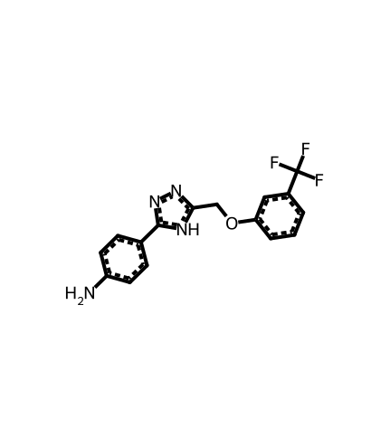 Nc1ccc(-c2nnc(COc3cccc(C(F)(F)F)c3)[nH]2)cc1